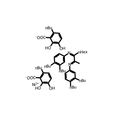 CCCCCCC(=Nc1ccc(CCCC)c(CCCC)c1)C(C)=Nc1ccc(CCCC)c(CCCC)c1.CCCCc1ccc(O)c(O)c1C(=O)[O-].CCCCc1ccc(O)c(O)c1C(=O)[O-].[Ni+2]